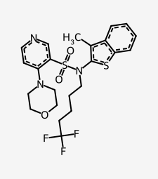 Cc1c(N(CCCCC(F)(F)F)S(=O)(=O)c2cnccc2N2CCOCC2)sc2ccccc12